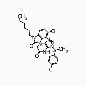 CCCCCCN1C(=O)[C@]2(CC(=O)Nc3c2nnn3[C@@H](C)c2ccc(Cl)cc2)c2cc(Cl)ccc21